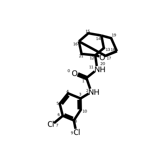 O=C(Nc1ccc(Cl)c(Cl)c1)NC12CC3CC(CC(C3)O1)C2